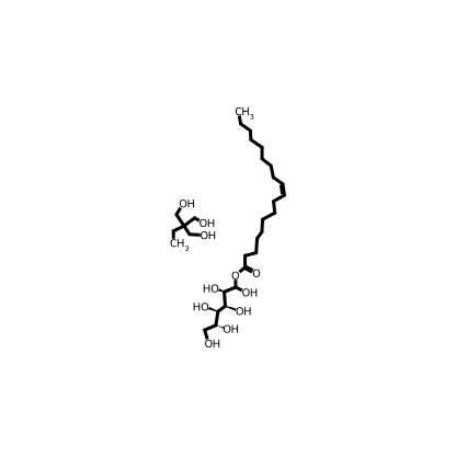 CCC(CO)(CO)CO.CCCCCCCC/C=C\CCCCCCCC(=O)OC(O)[C@H](O)[C@@H](O)[C@H](O)[C@H](O)CO